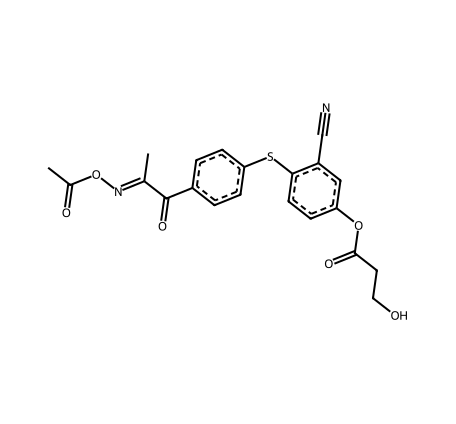 CC(=O)O/N=C(\C)C(=O)c1ccc(Sc2ccc(OC(=O)CCO)cc2C#N)cc1